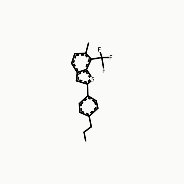 CCCc1ccc(-c2cc3ccc(C)c(C(F)(F)F)c3s2)cc1